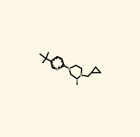 C[C@H]1CN(c2ccc(C(C)(C)C)cn2)CCN1CC1CC1